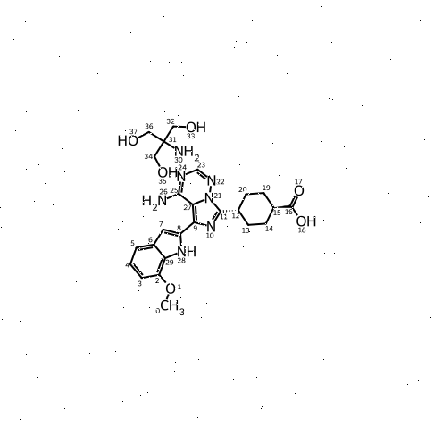 COc1cccc2cc(-c3nc([C@H]4CC[C@H](C(=O)O)CC4)n4ncnc(N)c34)[nH]c12.NC(CO)(CO)CO